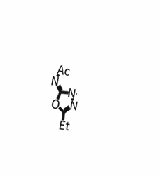 CCC1=N[N]C(=NC(C)=O)O1